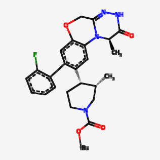 C[C@@H]1CN(C(=O)OC(C)(C)C)CC[C@@H]1c1cc2c(cc1-c1ccccc1F)OCC1=NNC(=O)[C@@H](C)N12